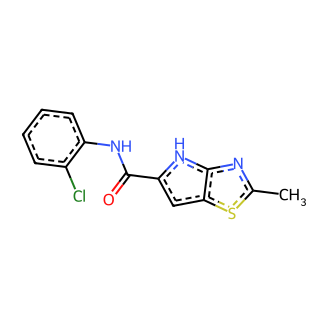 Cc1nc2[nH]c(C(=O)Nc3ccccc3Cl)cc2s1